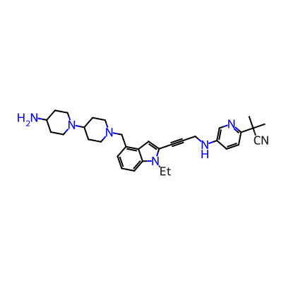 CCn1c(C#CCNc2ccc(C(C)(C)C#N)nc2)cc2c(CN3CCC(N4CCC(N)CC4)CC3)cccc21